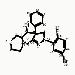 CCC(C1COCCN1)C1(c2ccccc2)CN(c2cc(Br)ccc2F)N=C1C(C)=O